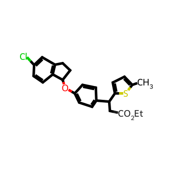 CCOC(=O)CC(c1ccc(OC2CCc3cc(Cl)ccc32)cc1)c1ccc(C)s1